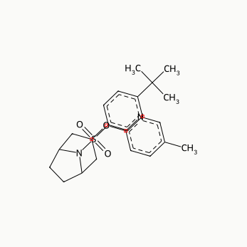 Cc1ccc(OC2CC3CCC(C2)N3S(=O)(=O)c2ccc(C(C)(C)C)cc2)nc1